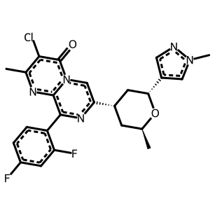 Cc1nc2c(-c3ccc(F)cc3F)nc([C@H]3C[C@H](C)O[C@@H](c4cnn(C)c4)C3)cn2c(=O)c1Cl